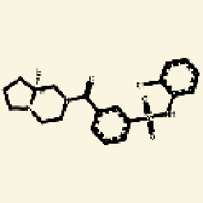 O=C(c1cccc(S(=O)(=O)Nc2ccccc2Cl)c1)N1CCN2CCC[C@H]2C1